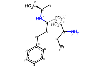 CC(C)CC(N)C(=O)O.C[C@@H](N[C@@H](CCc1ccccc1)C(=O)O)C(=O)O